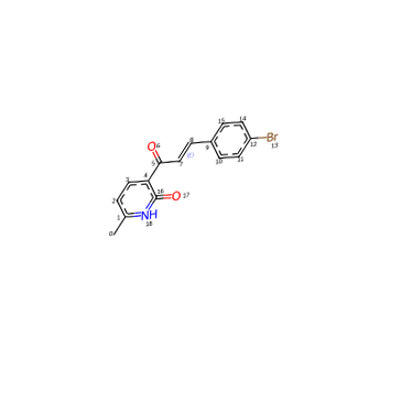 Cc1ccc(C(=O)/C=C/c2ccc(Br)cc2)c(=O)[nH]1